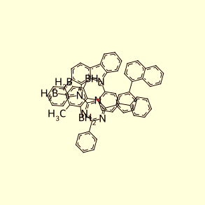 Bc1c(B)c(C)c(B)c(-c2ccc(-c3ccccc3)cc2-n2c3ccccc3c3ccc4c5ccccc5n(-c5nc(-c6ccccc6)nc(-c6cccc(-c7cccc8ccccc78)c6)n5)c4c32)c1B